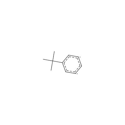 CC(C)(C)c1c[c]c[c]c1